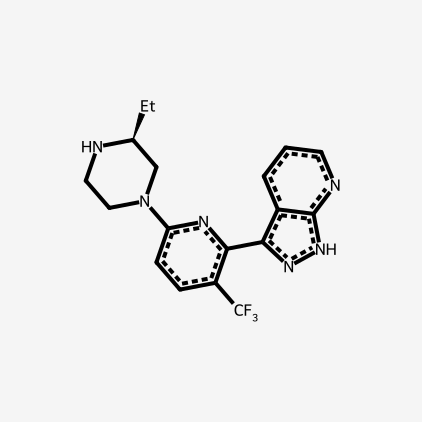 CC[C@H]1CN(c2ccc(C(F)(F)F)c(-c3n[nH]c4ncccc34)n2)CCN1